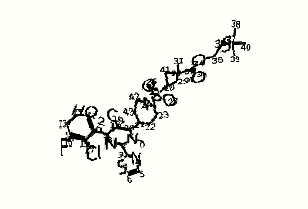 CN1C(c2nccs2)=NC(c2cccc(F)c2Cl)C(C(=O)O)=C1C1CCN(S(=O)(=O)C2CC(C)(C(=O)OCC[Si](C)(C)C)C2)CC1